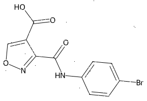 O=C(O)c1conc1C(=O)Nc1ccc(Br)cc1